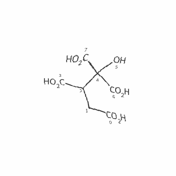 O=C(O)CC(C(=O)O)C(O)(C(=O)O)C(=O)O